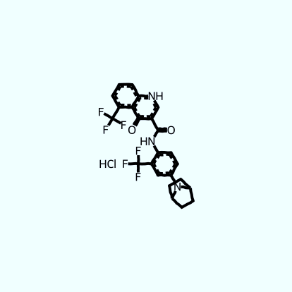 Cl.O=C(Nc1ccc(N2C3CCC2CC3)cc1C(F)(F)F)c1c[nH]c2cccc(C(F)(F)F)c2c1=O